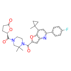 CC1(c2cc(-c3ccc(F)cc3)nc3cc(C(=O)N4CCN(C(=O)[C@H]5CCC(=O)O5)CC4(C)C)oc23)CC1